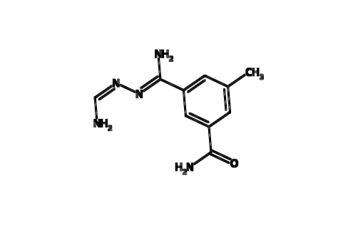 Cc1cc(C(N)=O)cc(/C(N)=N/N=C\N)c1